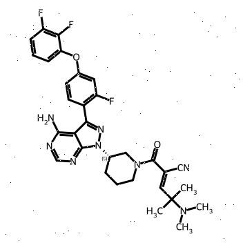 CN(C)C(C)(C)C=C(C#N)C(=O)N1CCC[C@H](n2nc(-c3ccc(Oc4cccc(F)c4F)cc3F)c3c(N)ncnc32)C1